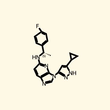 C[C@H](Nc1ccc2ncn(-c3cc(C4CC4)[nH]n3)c2n1)c1ccc(F)cc1